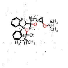 CCC(C(CC)(CC)O[Si]1(C)CC1O[SiH](C)C)[Si](OC(CC)(CC)[SiH](C)C)(c1ccccc1)c1ccccc1